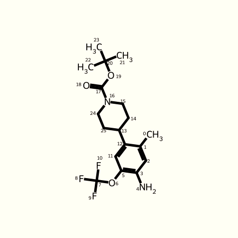 Cc1cc(N)c(OC(F)(F)F)cc1C1CCN(C(=O)OC(C)(C)C)CC1